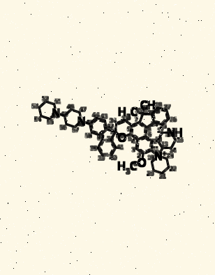 COc1cc2c3c(c4c(c2cc1[N+]1(C2CCNCC2)CCCCC1)-c1ccccc1C4(C)C)C=CC(c1ccccc1)(c1ccc(N2CCC(N4CCCCC4)CC2)cc1)O3